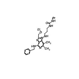 CCOCc1nc2c(NCc3ccccc3)nc(C)c(C)c2n1NCCCNC(=O)NC(C)C